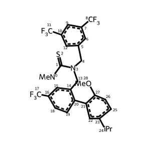 CNC(=S)N(Cc1cc(C(F)(F)F)cc(C(F)(F)F)c1)Cc1cc(C(F)(F)F)ccc1-c1cc(C(C)C)ccc1OC